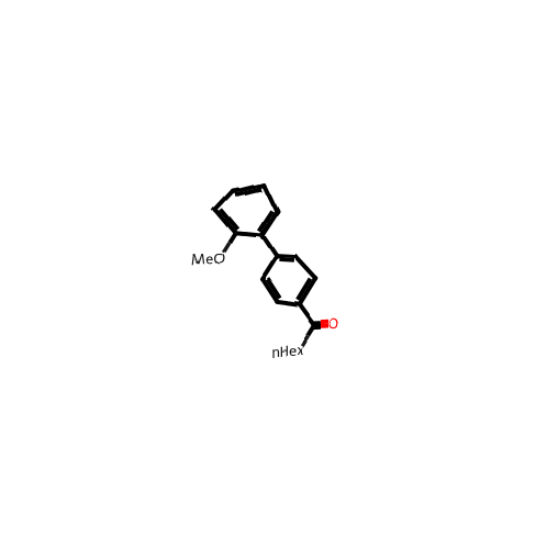 CCCCCCC(=O)c1ccc(-c2ccccc2OC)cc1